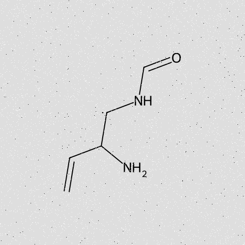 C=CC(N)[CH]NC=O